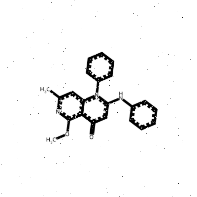 COc1nc(C)cc2c1c(=O)cc(Nc1ccccc1)n2-c1ccccc1